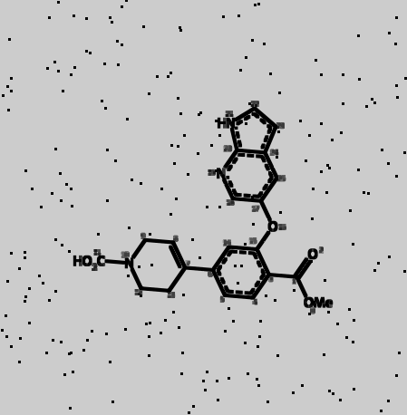 COC(=O)c1ccc(C2=CCN(C(=O)O)CC2)cc1Oc1cnc2[nH]ccc2c1